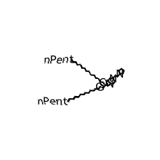 CCCCCC=CCC=CCCCCCCCCOCC(CN1CCN(CCN2CCCC2)CC1)OCCCCCCCCC=CCC=CCCCCC